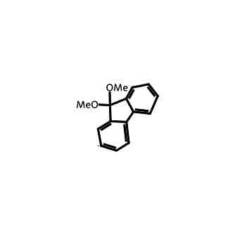 COC1(OC)c2c[c]ccc2-c2ccccc21